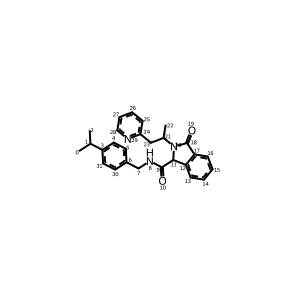 CC(C)c1ccc(CNC(=O)C2c3ccccc3C(=O)N2C(C)Cc2ccccn2)cc1